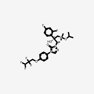 CC(C)O[Si](C)(C)C[C@](O)(c1ccc(F)cc1F)[C@@H](C)n1ncn(-c2ccc(OCC(F)(F)C(F)F)cc2)c1=O